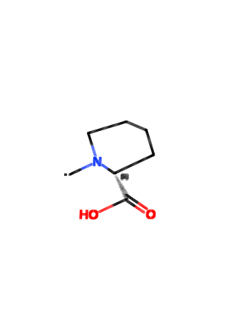 [CH2]N1CCCC[C@@H]1C(=O)O